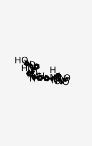 COC(=O)N[C@H](C(=O)N1CCC[C@H]1c1ncc(-c2ccc(-c3ccc(-c4cnc([C@@H]5CCCN5C(=O)[C@H](NC(=O)N5CC[C@H](O)C5)c5ccccc5)[nH]4)cc3)cc2)[nH]1)C(C)C